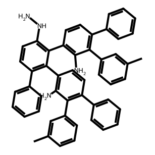 Cc1cccc(-c2c(-c3ccccc3)ccc(-c3c(NN)ccc(-c4ccccc4)c3-c3ccc(-c4ccccc4)c(-c4cccc(C)c4)c3N)c2N)c1